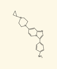 Nc1ccc(-c2cnc3cc(N4CCN(C5CC5)CC4)ccn23)cc1